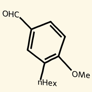 CCCCCCc1cc(C=O)ccc1OC